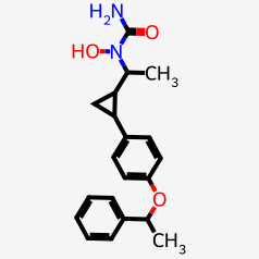 CC(Oc1ccc(C2CC2C(C)N(O)C(N)=O)cc1)c1ccccc1